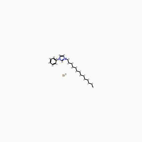 CCCCCCCCCCCCCC[n+]1ccn(-c2ccccc2)c1.[Br-]